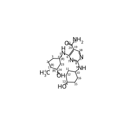 C[C@@H]1CC[C@@H](Nc2nc(NC3CCC(O)CC3)ncc2C(N)=O)C[C@H]1O